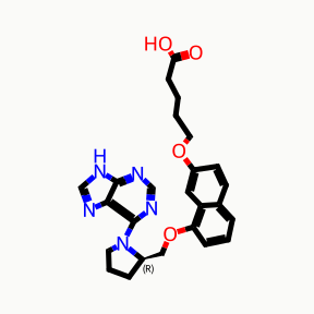 O=C(O)CCCCOc1ccc2cccc(OC[C@H]3CCCN3c3ncnc4[nH]cnc34)c2c1